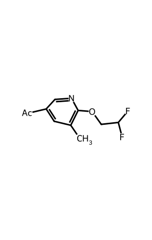 CC(=O)c1cnc(OCC(F)F)c(C)c1